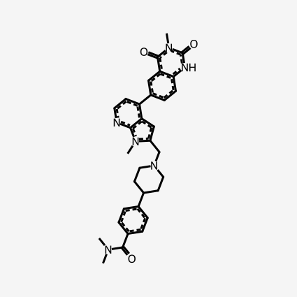 CN(C)C(=O)c1ccc(C2CCN(Cc3cc4c(-c5ccc6[nH]c(=O)n(C)c(=O)c6c5)ccnc4n3C)CC2)cc1